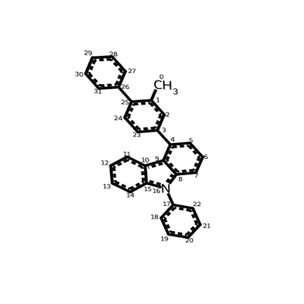 Cc1cc(-c2cccc3c2c2ccccc2n3-c2ccccc2)ccc1-c1ccccc1